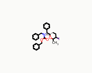 CC1O[C@H]([C@@H](c2ccccc2)N(Cc2ccccc2)C(=O)OCc2ccccc2)CCC1I